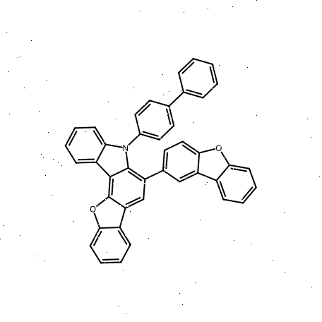 c1ccc(-c2ccc(-n3c4ccccc4c4c5oc6ccccc6c5cc(-c5ccc6oc7ccccc7c6c5)c43)cc2)cc1